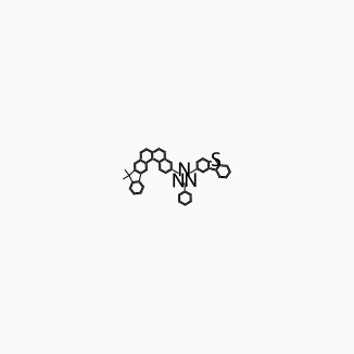 CC1(C)c2ccccc2-c2cc3c(ccc4ccc5cc(-c6nc(-c7ccccc7)nc(-c7ccc8sc9ccccc9c8c7)n6)ccc5c43)cc21